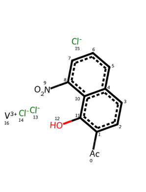 CC(=O)c1ccc2cccc([N+](=O)[O-])c2c1O.[Cl-].[Cl-].[Cl-].[V+3]